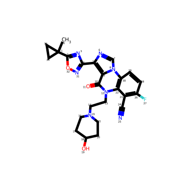 CC1(c2nc(-c3ncn4c3c(=O)n(CCN3CCC(O)CC3)c3c(C#N)c(F)ccc34)no2)CC1